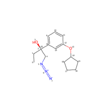 CC[C@@](O)(CN=[N+]=[N-])c1cccc(OC2CCCC2)c1